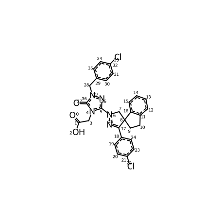 O=C(O)Cn1c(N2CC3(CCc4ccccc43)C(c3ccc(Cl)cc3)=N2)nn(Cc2ccc(Cl)cc2)c1=O